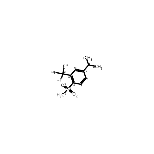 CC(C)c1ccc(S(C)(=O)=O)c(C(F)(F)F)c1